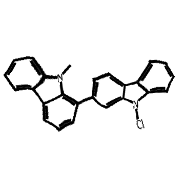 Cn1c2ccccc2c2cccc(-c3ccc4c5ccccc5n(Cl)c4c3)c21